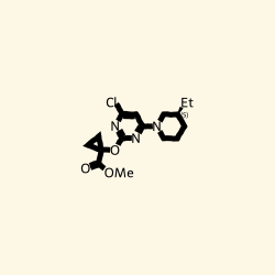 CC[C@H]1CCCN(c2cc(Cl)nc(OC3(C(=O)OC)CC3)n2)C1